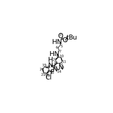 CC(C)(C)OC(=O)NCCCNc1ccc2ncnc(Nc3cccc(Cl)c3F)c2c1